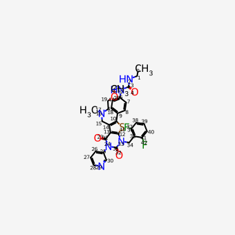 CCNC(=O)Nc1ccc(-c2sc3c(c2CN(C)CCOC)c(=O)n(-c2cccnc2)c(=O)n3Cc2c(F)cccc2F)cc1